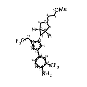 COCCN1C[C@@H]2[C@H](C1)[C@@H]2c1cc(-c2cnc(N)c(C(F)(F)F)c2)nn1CC(F)(F)F